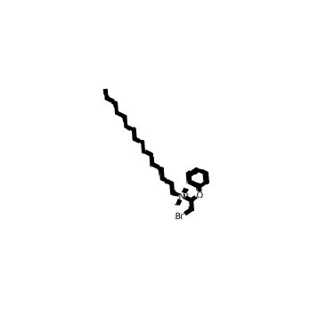 CCCCCCCCCCCCCCCC[N+](C)(C)C(CBr)Oc1ccccc1